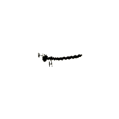 C=C(CCCCCCCCCCCCCCCCCCC)NCCc1c[nH]c2c(C)cccc12